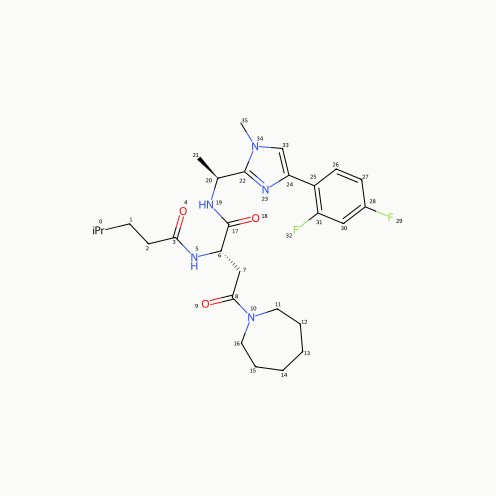 CC(C)CCC(=O)N[C@@H](CC(=O)N1CCCCCC1)C(=O)N[C@@H](C)c1nc(-c2ccc(F)cc2F)cn1C